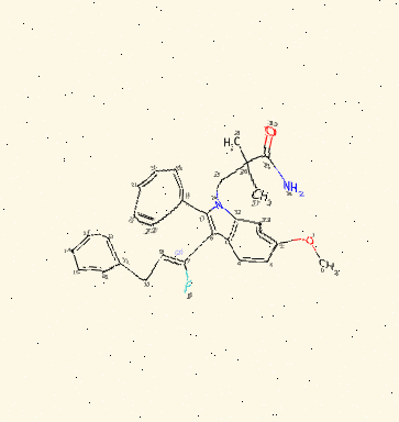 COc1ccc2c(/C(F)=C/Cc3ccccc3)c(-c3ccccc3)n(CC(C)(C)C(N)=O)c2c1